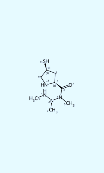 CNN(C)N(C)C(=O)[C@@H]1C[C@H](S)CN1